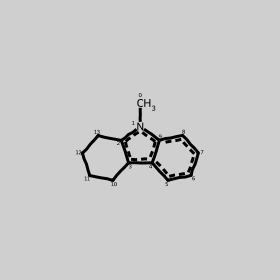 Cn1c2c(c3ccccc31)CCCC2